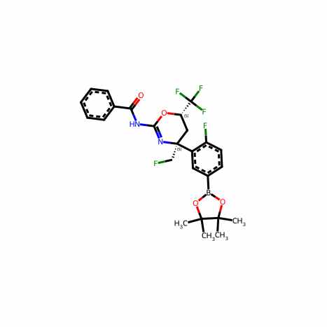 CC1(C)OB(c2ccc(F)c([C@]3(CF)C[C@@H](C(F)(F)F)OC(NC(=O)c4ccccc4)=N3)c2)OC1(C)C